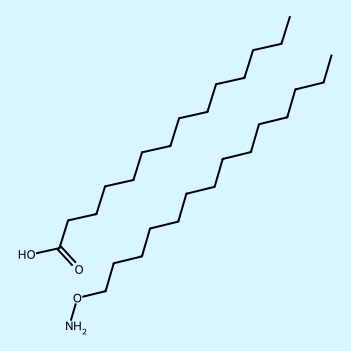 CCCCCCCCCCCCCC(=O)O.CCCCCCCCCCCCCCON